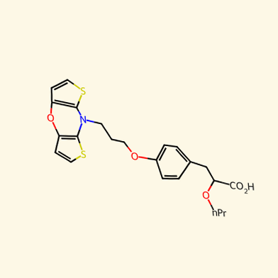 CCCOC(Cc1ccc(OCCCN2c3sccc3Oc3ccsc32)cc1)C(=O)O